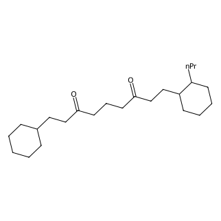 CCCC1CCCCC1CCC(=O)CCCC(=O)CCC1CCCCC1